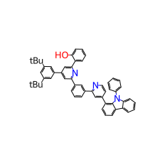 CC(C)(C)c1cc(-c2cc(-c3cccc(-c4cc(-c5cccc6c7ccccc7n(-c7ccccc7)c56)ccn4)c3)nc(-c3ccccc3O)c2)cc(C(C)(C)C)c1